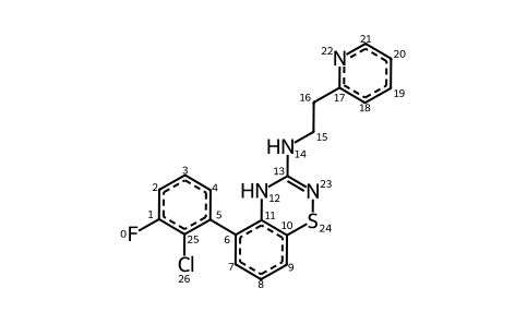 Fc1cccc(-c2cccc3c2NC(NCCc2ccccn2)=NS3)c1Cl